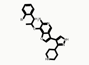 CC(Cc1ccccc1Br)Oc1c(N)ncc2c(-c3c[nH]nc3C3CCNCC3)coc12